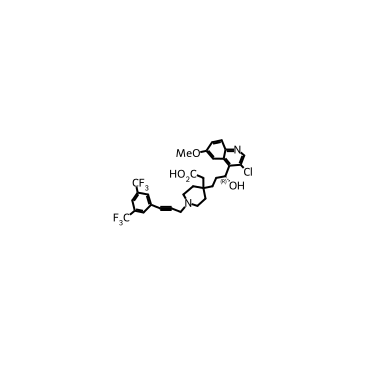 COc1ccc2ncc(Cl)c([C@H](O)CCC3(CC(=O)O)CCN(CC#Cc4cc(C(F)(F)F)cc(C(F)(F)F)c4)CC3)c2c1